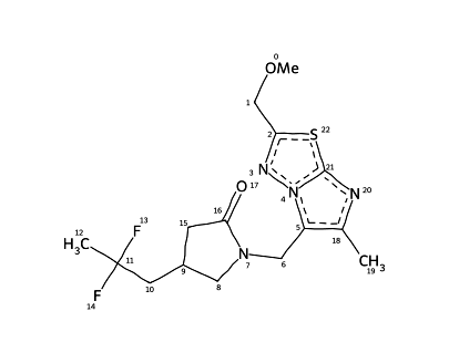 COCc1nn2c(CN3CC(CC(C)(F)F)CC3=O)c(C)nc2s1